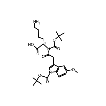 COc1ccc2c(c1)c(CC(=O)N(C(=O)OC(C)(C)C)[C@@H](CCCCN)C(=O)O)cn2C(=O)OC(C)(C)C